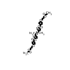 C=CC(=O)OCCCCOc1ccc(C(=O)Oc2ccc(/C(C)=N/N=C(\C)c3ccc(OC(=O)c4ccc(OCCCCOC(=O)C=C)cc4)nc3)nc2)cc1